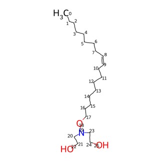 CCCCCCCC/C=C\CCCCCCCCON(CCO)CCO